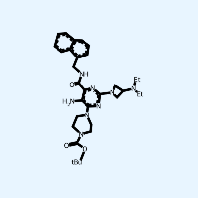 CCN(CC)C1CN(c2nc(C(=O)NCc3cccc4ccccc34)c(N)c(N3CCN(C(=O)OC(C)(C)C)CC3)n2)C1